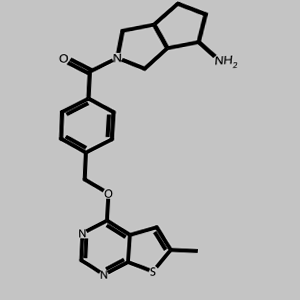 Cc1cc2c(OCc3ccc(C(=O)N4CC5CCC(N)C5C4)cc3)ncnc2s1